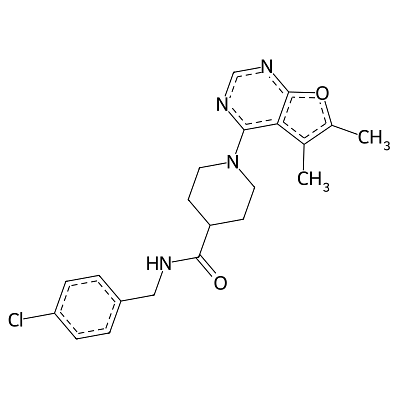 Cc1oc2ncnc(N3CCC(C(=O)NCc4ccc(Cl)cc4)CC3)c2c1C